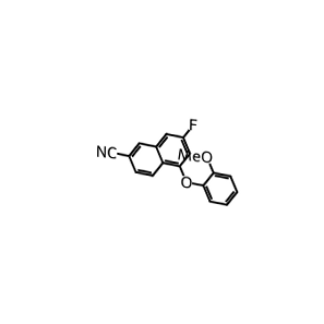 COc1ccccc1Oc1cc(F)cc2cc(C#N)ccc12